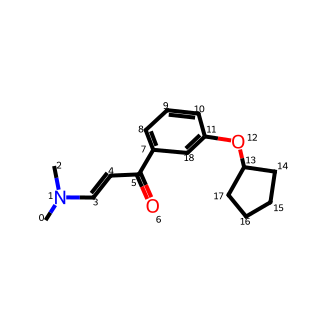 CN(C)C=CC(=O)c1cccc(OC2CCCC2)c1